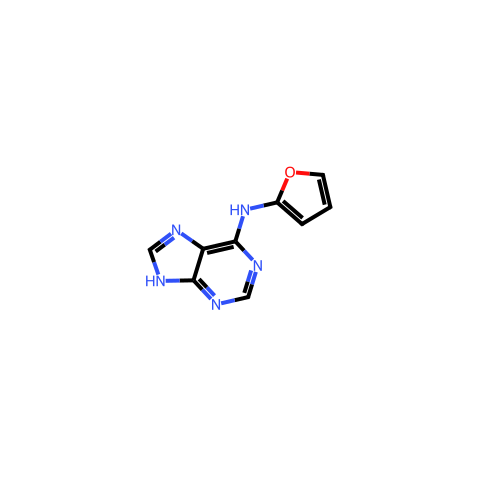 c1coc(Nc2ncnc3[nH]cnc23)c1